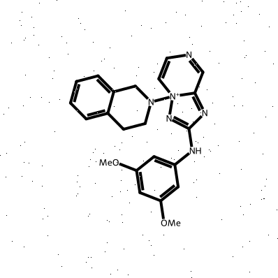 COc1cc(NC2=N[N+]3(N4CCc5ccccc5C4)C=CN=CC3=N2)cc(OC)c1